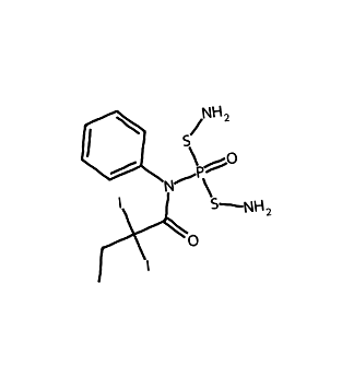 CCC(I)(I)C(=O)N(c1ccccc1)P(=O)(SN)SN